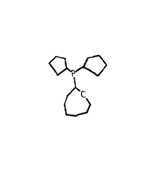 C1CCCC(P(C2CCCC2)C2CCCC2)CCC1